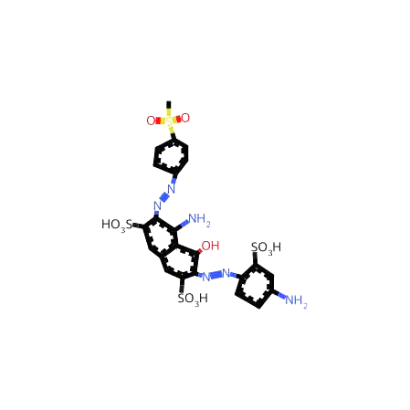 CS(=O)(=O)c1ccc(N=Nc2c(S(=O)(=O)O)cc3cc(S(=O)(=O)O)c(N=Nc4ccc(N)cc4S(=O)(=O)O)c(O)c3c2N)cc1